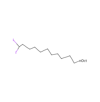 CCCCCCCCCCCCCCCCCCC(I)I